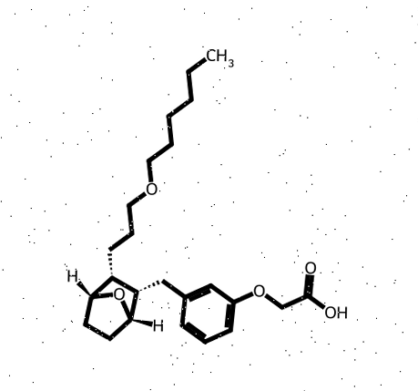 CCCCCCOCCC[C@@H]1[C@H](Cc2cccc(OCC(=O)O)c2)[C@@H]2CC[C@H]1O2